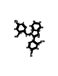 Fc1ccc(Cn2c(-c3ccc(F)cc3F)nc3ccccc32)c(F)c1